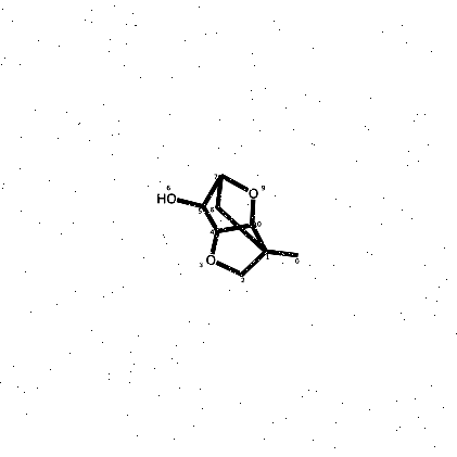 CC12COC3C(O)C(C1)OC32